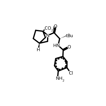 CC(C)(C)[C@H](NC(=O)c1ccc(N)c(Cl)c1)C(=O)N1C[C@@H]2CC[C@@]1(C(=O)O)C2